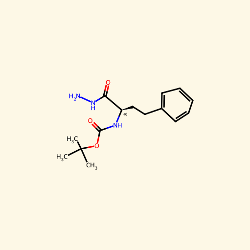 CC(C)(C)OC(=O)N[C@H](CCc1ccccc1)C(=O)NN